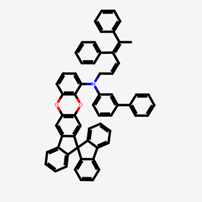 C/C(=C(\C=C/CN(c1cccc(-c2ccccc2)c1)c1cccc2c1Oc1cc3c(cc1O2)-c1ccccc1C31c2ccccc2-c2ccccc21)c1ccccc1)c1ccccc1